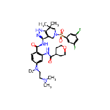 CCN(CCN(C)C)c1ccc(C(=O)Nc2n[nH]c3c2CN(S(=O)(=O)c2cc(F)cc(F)c2)CC3(C)C)c(NC(=O)C2CCOCC2)c1